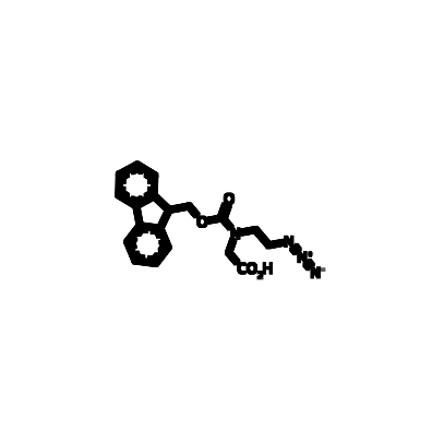 [N-]=[N+]=NCCN(CC(=O)O)C(=O)OCC1c2ccccc2-c2ccccc21